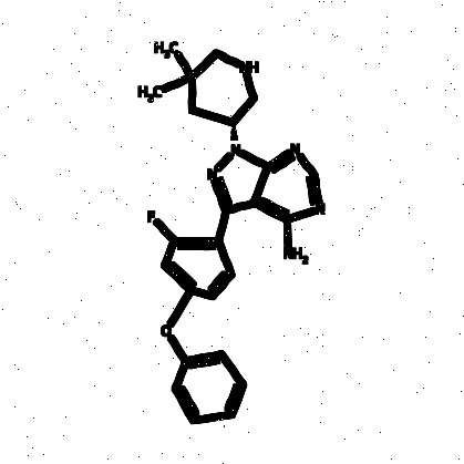 CC1(C)CNC[C@H](n2nc(-c3ccc(Oc4ccccc4)cc3F)c3c(N)ncnc32)C1